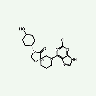 O=C1N([C@H]2CC[C@H](O)CC2)CC[C@]12CCCN(c1nc(Cl)nc3[nH]cnc13)C2